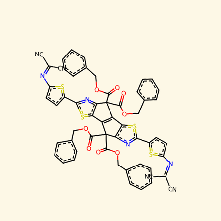 N#CC(C#N)=Nc1ccc(-c2nc3c(s2)C2=C(c4sc(-c5ccc(N=C(C#N)C#N)s5)nc4C2(C(=O)OCc2ccccc2)C(=O)OCc2ccccc2)C3(C(=O)OCc2ccccc2)C(=O)OCc2ccccc2)s1